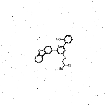 CCCCC(CC)COc1cc(-c2ccc3oc4ccccc4c3c2)nc(-c2ccccc2O)n1